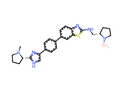 BN1CCC[C@H]1CNc1nc2ccc(-c3ccc(-c4c[nH]c([C@@H]5CCCN5C)n4)cc3)cc2s1